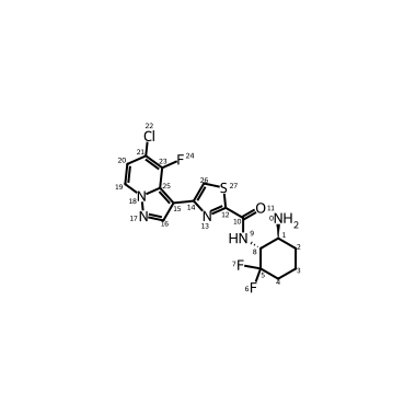 N[C@H]1CCCC(F)(F)[C@@H]1NC(=O)c1nc(-c2cnn3ccc(Cl)c(F)c23)cs1